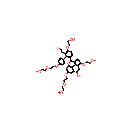 O=C(c1ccc(OCCO)c(CCO)c1-c1ccc(OCCOCCO)cc1)c1ccc(OCCO)c(CCO)c1-c1ccc(OCCOCCO)cc1